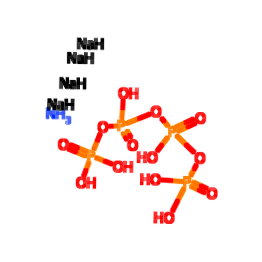 N.O=P(O)(O)OP(=O)(O)OP(=O)(O)OP(=O)(O)O.[NaH].[NaH].[NaH].[NaH]